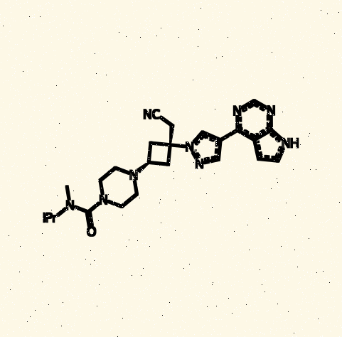 CC(C)N(C)C(=O)N1CCN([C@H]2C[C@](CC#N)(n3cc(-c4ncnc5[nH]ccc45)cn3)C2)CC1